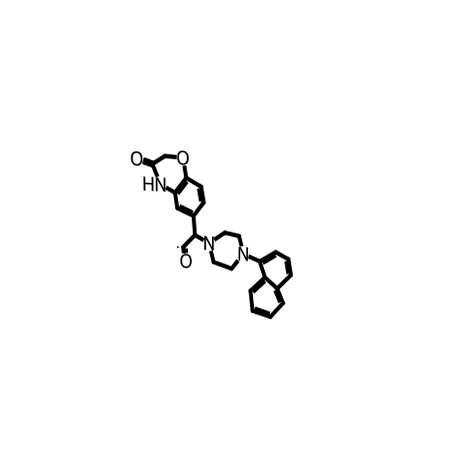 O=[C]C(c1ccc2c(c1)NC(=O)CO2)N1CCN(c2cccc3ccccc23)CC1